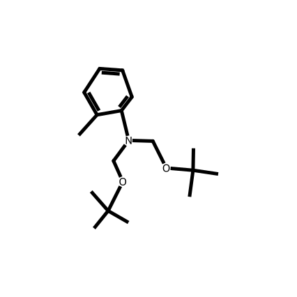 Cc1ccccc1N(COC(C)(C)C)COC(C)(C)C